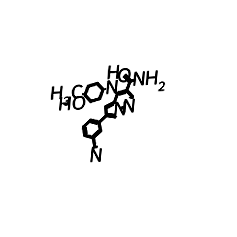 C[C@]1(O)CC[C@@H](Nc2c(C(N)=O)cnn3cc(-c4cccc(C#N)c4)cc23)CC1